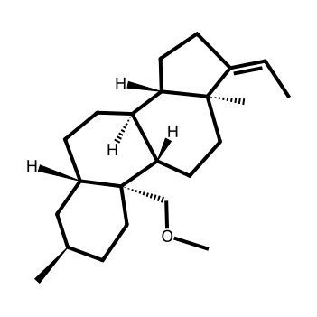 C/C=C1/CC[C@H]2[C@@H]3CC[C@H]4C[C@H](C)CC[C@]4(COC)[C@H]3CC[C@]12C